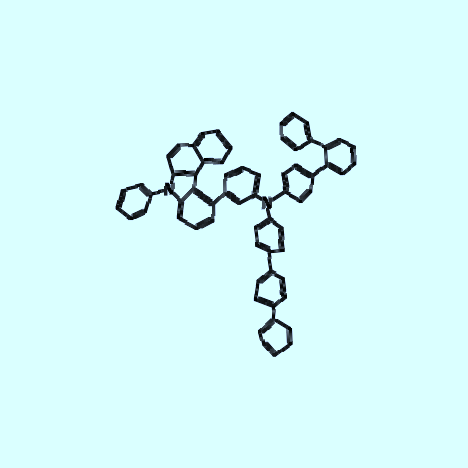 c1ccc(-c2ccc(-c3ccc(N(c4ccc(-c5ccccc5-c5ccccc5)cc4)c4cccc(-c5cccc6c5c5c7ccccc7ccc5n6-c5ccccc5)c4)cc3)cc2)cc1